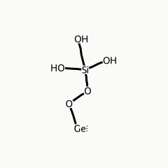 O[Si](O)(O)O[O][Ge]